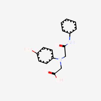 O=C(O)CN(CC(=O)Nc1ccccc1)c1ccc(O)cc1